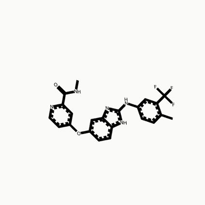 CNC(=O)c1cc(Oc2ccc3[nH]c(Nc4ccc(C)c(C(F)(F)F)c4)nc3c2)ccn1